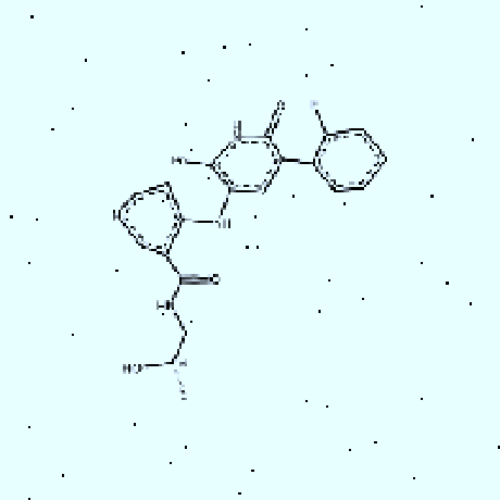 CC(C)c1[nH]c(=O)c(-c2ccccc2F)cc1Nc1ccncc1C(=O)NC[C@H](C)O